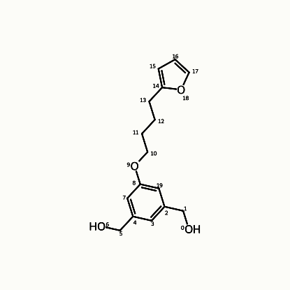 OCc1cc(CO)cc(OCCCCc2ccco2)c1